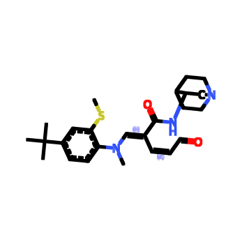 CSc1cc(C(C)(C)C)ccc1N(C)/C=C(\C=C/C=O)C(=O)NC1CN2CCC1CC2